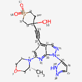 C[C@@H]1COCCN1c1cc(C#CC2(O)CCS(=O)(=O)CC2)c2cnn(-c3ccn[nH]3)c2n1